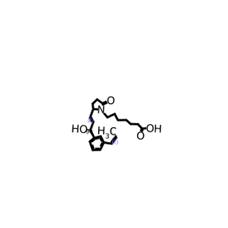 C/C=C\c1cccc([C@H](O)/C=C/C2CCC(=O)N2CCCCCCC(=O)O)c1